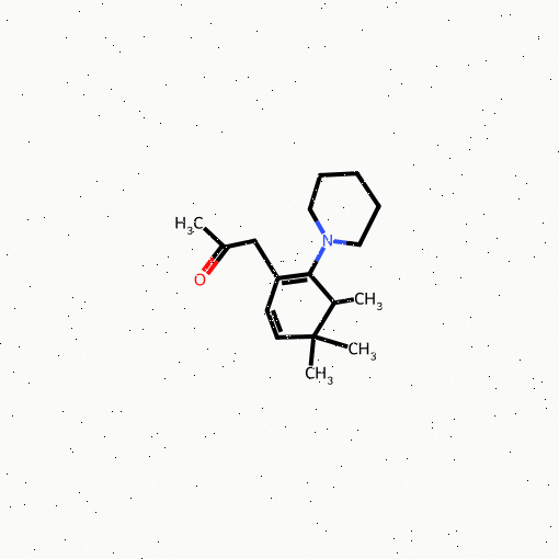 CC(=O)CC1=C(N2CCCCC2)C(C)C(C)(C)C=C1